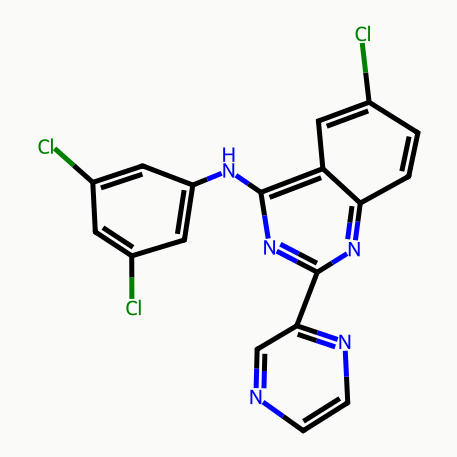 Clc1cc(Cl)cc(Nc2nc(-c3cnccn3)nc3ccc(Cl)cc23)c1